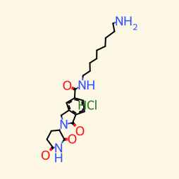 Cl.NCCCCCCCCCNC(=O)c1ccc2c(c1)CN(C1CCC(=O)NC1=O)C2=O